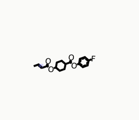 C/C=C/C(=O)OC1CCC(C(=O)Oc2ccc(F)cc2)CC1